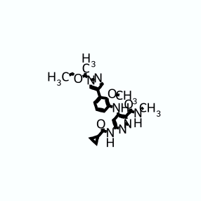 CCOC(C)n1cc(-c2cccc(Nc3cc(NC(=O)C4CC4)nnc3C(=O)NC)c2OC)cn1